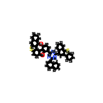 c1ccc2c(-c3nc(-c4cc5c6ccccc6sc5c5ccccc45)nc(-c4ccc5oc6c7ccccc7cc7sc8ccc9oc4c5c9c8c76)n3)cccc2c1